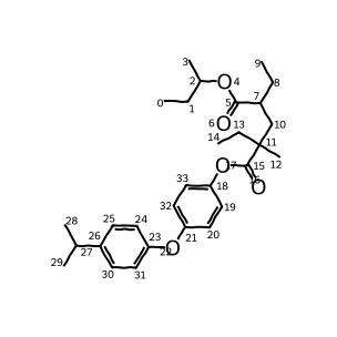 CCC(C)OC(=O)C(CC)CC(C)(CC)C(=O)Oc1ccc(Oc2ccc(C(C)C)cc2)cc1